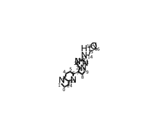 c1cnc2ccc(-c3ccn4nc(NCC5COC5)ncc34)nc2c1